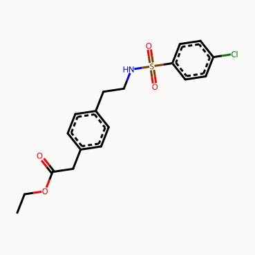 CCOC(=O)Cc1ccc(CCNS(=O)(=O)c2ccc(Cl)cc2)cc1